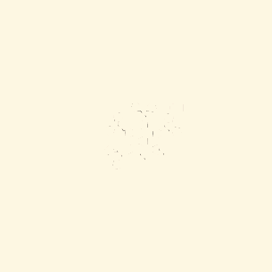 Cc1ccc2c(c1)c1ccccc1n2-c1ccc(-c2c(C#N)c(-c3ccncc3)c(-c3ccc(-n4c5ccccc5c5cc(C)ccc54)cc3)c(-c3ccc(-n4c5ccccc5c5ccccc54)cc3)c2-c2ccc(-n3c4ccccc4c4ccccc43)cc2)cc1